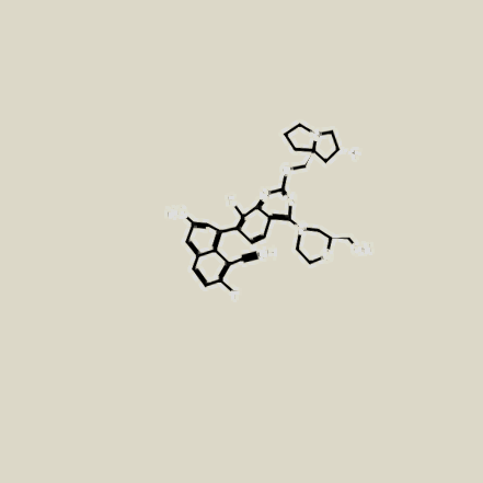 C#Cc1c(F)ccc2cc(O)cc(-c3ccc4c(N5CCO[C@H](CO)C5)nc(OC[C@@]56CCCN5C[C@H](F)C6)nc4c3F)c12